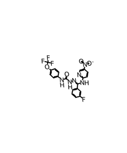 O=C(NN=C(Nc1ccc([N+](=O)[O-])cn1)c1cccc(F)c1)Nc1ccc(OC(F)(F)F)cc1